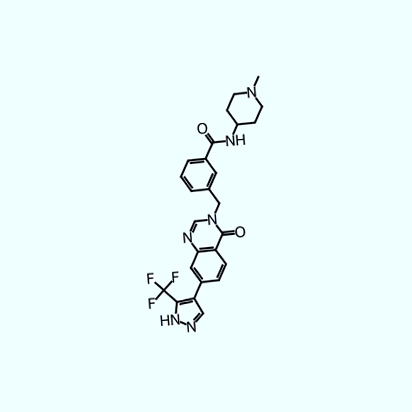 CN1CCC(NC(=O)c2cccc(Cn3cnc4cc(-c5cn[nH]c5C(F)(F)F)ccc4c3=O)c2)CC1